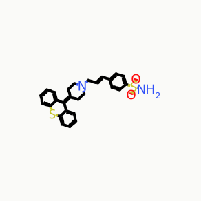 NS(=O)(=O)c1ccc(C=CCN2CCC(=C3c4ccccc4Sc4ccccc43)CC2)cc1